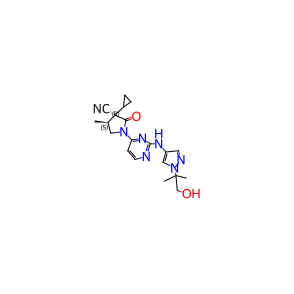 C[C@@H]1CN(c2ccnc(Nc3cnn(C(C)(C)CO)c3)n2)C(=O)[C@]1(C#N)C1CC1